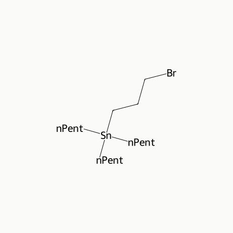 CCCC[CH2][Sn]([CH2]CCBr)([CH2]CCCC)[CH2]CCCC